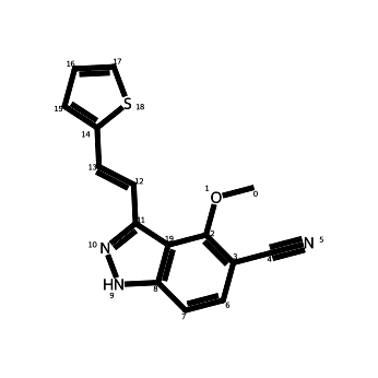 COc1c(C#N)ccc2[nH]nc(C=Cc3cccs3)c12